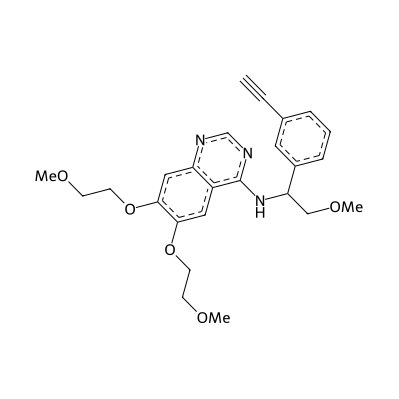 C#Cc1cccc(C(COC)Nc2ncnc3cc(OCCOC)c(OCCOC)cc23)c1